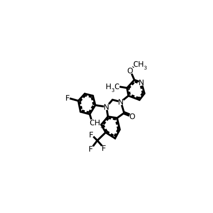 COc1nccc(N2CN(c3ccc(F)cc3C)c3cc(C(F)(F)F)ccc3C2=O)c1C